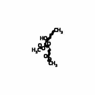 CCCCC[C@@H](O)[C@H]1C[C@@H](OC(C)=O)[C@@H](CCCC(=O)OCC)O1